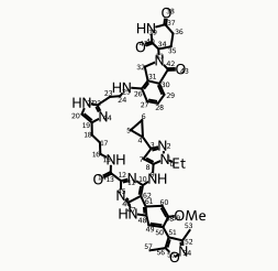 CCn1nc(C2CC2)cc1Nc1nc(C(=O)NCCCc2c[nH]c(CCNc3cccc4c3CN(C3CCC(=O)NC3=O)C4=O)n2)nc2[nH]c3cc(-c4c(C)noc4C)c(OC)cc3c12